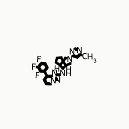 Cc1cc(N2C[C@H]3C(Nc4nc5c(-c6ccc(F)c(F)c6F)cccn5n4)[C@@H]4CCCC43C2)ncn1